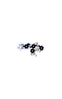 Cc1ccc(-c2cc(C(=O)NCc3ccccc3)ccc2Cn2ccc3cc(C(=N)N)ccc32)c(C(=O)O)c1